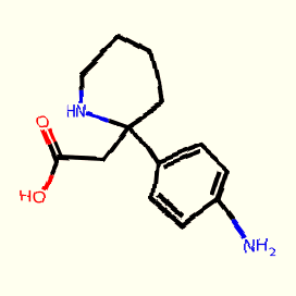 Nc1ccc(C2(CC(=O)O)CCCCN2)cc1